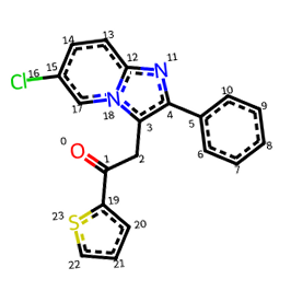 O=C(Cc1c(-c2ccccc2)nc2ccc(Cl)cn12)c1cccs1